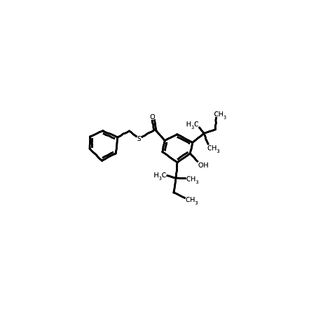 CCC(C)(C)c1cc(C(=O)SCc2ccccc2)cc(C(C)(C)CC)c1O